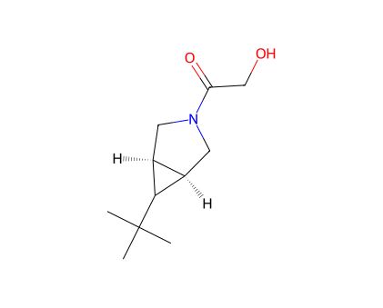 CC(C)(C)C1[C@H]2CN(C(=O)CO)C[C@@H]12